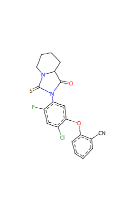 N#Cc1ccccc1Oc1cc(N2C(=O)C3CCCCN3C2=S)c(F)cc1Cl